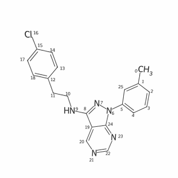 Cc1cccc(-n2nc(NCCc3ccc(Cl)cc3)c3cncnc32)c1